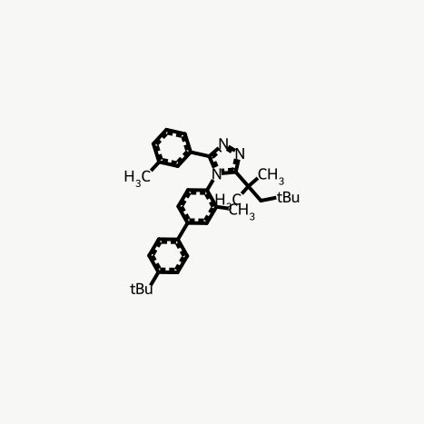 Cc1cccc(-c2nnc(C(C)(C)CC(C)(C)C)n2-c2ccc(-c3ccc(C(C)(C)C)cc3)cc2C)c1